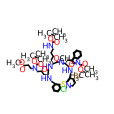 COC(=O)CCN(CCC[C@@H]1NCc2ccccc2SC2=C(CNC(=O)[C@H](Cc3cn(C(=O)OC(C)(C)C)c4ccccc34)N(C)C(=O)[C@H](CCCCNC(=O)OC(C)(C)C)NC1=O)C(Br)=CCN2Cl)C(=O)OC(C)(C)C